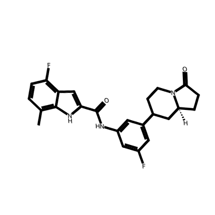 Cc1ccc(F)c2cc(C(=O)Nc3cc(F)cc(C4CCN5C(=O)CC[C@H]5C4)c3)[nH]c12